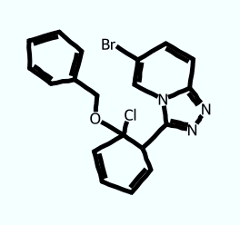 ClC1(OCc2ccccc2)C=CC=CC1c1nnc2ccc(Br)cn12